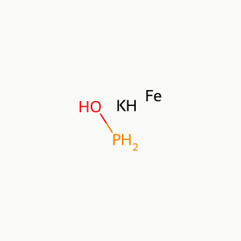 OP.[Fe].[KH]